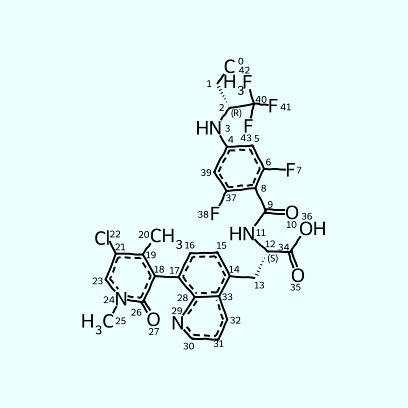 CC[C@@H](Nc1cc(F)c(C(=O)N[C@@H](Cc2ccc(-c3c(C)c(Cl)cn(C)c3=O)c3ncccc23)C(=O)O)c(F)c1)C(F)(F)F